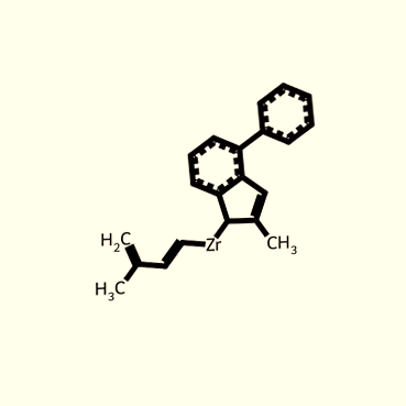 C=C(C)C=[CH][Zr][CH]1C(C)=Cc2c(-c3ccccc3)cccc21